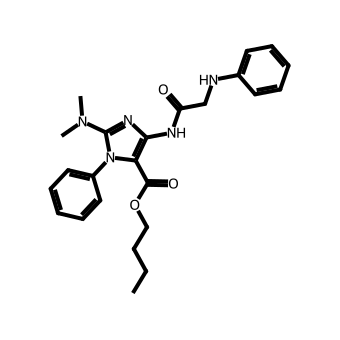 CCCCOC(=O)c1c(NC(=O)CNc2ccccc2)nc(N(C)C)n1-c1ccccc1